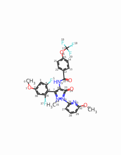 COc1cc(F)c(-c2c(NC(=O)c3ccc(OC(F)(F)F)cc3)c(=O)n(-c3cccc(OC)n3)n2C)c(F)c1